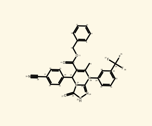 CC1=C(C(=O)OCc2ccccc2)C(c2ccc(C#N)cc2)n2c(n[nH]c2=O)N1c1cccc(C(F)(F)F)c1